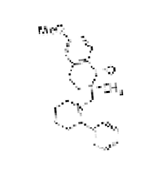 COc1ccc2c(c1)CCC(C)(CN1CCCCC1c1ccccc1)C2=O